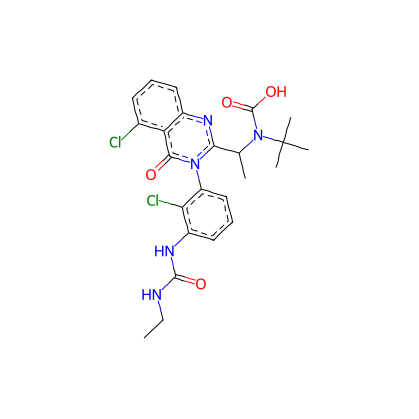 CCNC(=O)Nc1cccc(-n2c(C(C)N(C(=O)O)C(C)(C)C)nc3cccc(Cl)c3c2=O)c1Cl